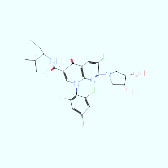 CCC(NC(=O)c1cn(-c2c(F)cc(F)cc2F)c2nc(N3C[C@@H](O)[C@H](O)C3)c(F)cc2c1=O)C(C)C